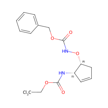 O=C(NO[C@@H]1CC=C[C@@H]1NC(=O)OCC(Cl)(Cl)Cl)OCc1ccccc1